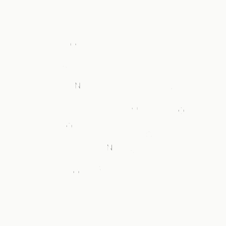 CC(=O)COC(CN1C(=O)C=CC1=O)CN1C(=O)C=CC1=O